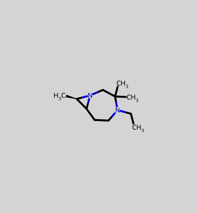 CCN1CCC2[C@@H](C)N2CC1(C)C